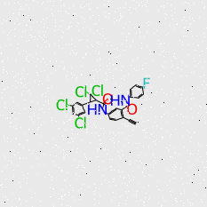 C#Cc1ccc(NC(=O)C2C(c3cc(Cl)cc(Cl)c3)C2(Cl)Cl)cc1C(=O)Nc1ccc(F)cc1